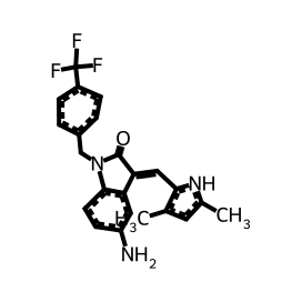 Cc1cc(C)c(C=C2C(=O)N(Cc3ccc(C(F)(F)F)cc3)c3ccc(N)cc32)[nH]1